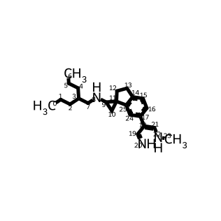 CCCC(CCC)CNC1CC12CCc1ccc(/C(C=N)=C/NC)cc12